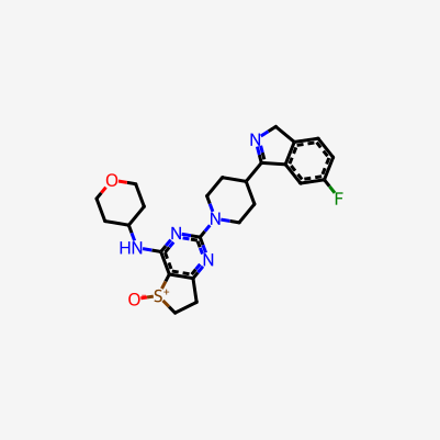 [O-][S+]1CCc2nc(N3CCC(C4=NCc5ccc(F)cc54)CC3)nc(NC3CCOCC3)c21